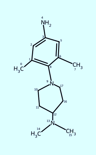 Cc1cc(N)cc(C)c1N1CCC(N(C)C)CC1